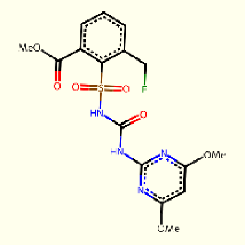 COC(=O)c1cccc(CF)c1S(=O)(=O)NC(=O)Nc1nc(OC)cc(OC)n1